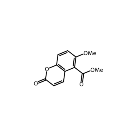 COC(=O)c1c(OC)ccc2oc(=O)ccc12